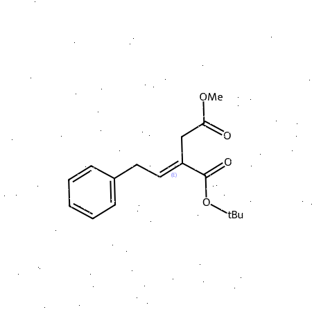 COC(=O)C/C(=C\Cc1ccccc1)C(=O)OC(C)(C)C